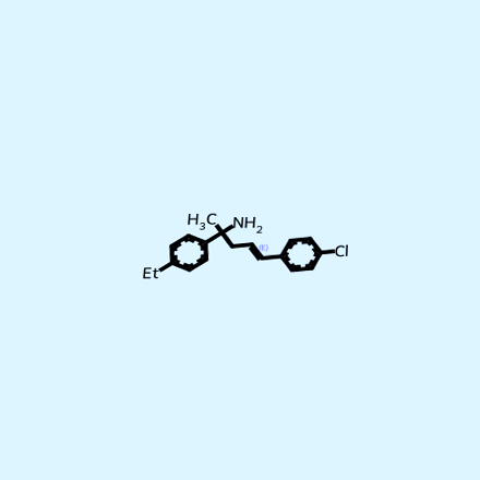 CCc1ccc(C(C)(N)C/C=C/c2ccc(Cl)cc2)cc1